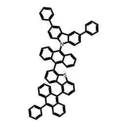 c1ccc(-c2ccc3c(c2)c2cc(-c4ccccc4)ccc2n3-c2c3ccccc3c(-c3cccc4c3sc3cccc(-c5c6ccccc6c(-c6ccccc6)c6ccccc56)c34)c3ccccc23)cc1